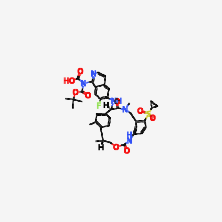 Cc1cc2ccc1[C@@H](C)COC(=O)Nc1ccc(S(=O)(=O)C3CC3)c(c1)CN(C)C(=O)[C@@H]2Nc1cc2ccnc(N(C(=O)O)C(=O)OC(C)(C)C)c2cc1F